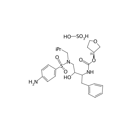 CC(C)CN(CC(O)C(Cc1ccccc1)NC(=O)O[C@H]1CCOC1)S(=O)(=O)c1ccc(N)cc1.O=S(=O)(O)O